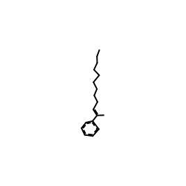 CCCCCCCCCC=C(C)c1ccccc1